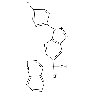 OC(c1ccc2c(cnn2-c2ccc(F)cc2)c1)(c1ccnc2ccccc12)C(F)(F)F